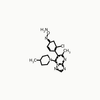 Cc1nc2ncnn2c(N2CCC(C)CC2)c1C1=C(Cl)CC(=NON)C=C1